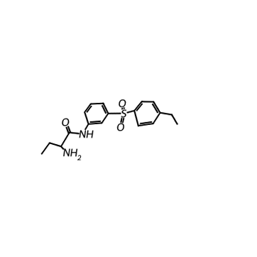 CCc1ccc(S(=O)(=O)c2cccc(NC(=O)C(N)CC)c2)cc1